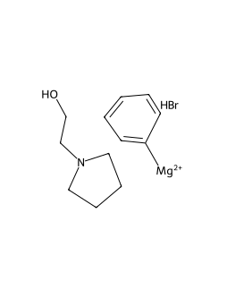 Br.OCCN1CCCC1.[Mg+2][c]1ccccc1